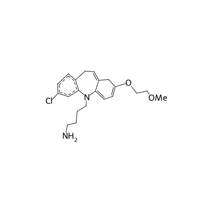 COCCOC1=CC=C2C(=CCc3ccc(Cl)cc3N2CCCCN)C1